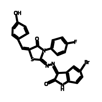 O=C1Nc2ccc(Br)cc2C1=NN=C1SC(=Cc2ccc(O)cc2)C(=O)N1c1ccc(F)cc1